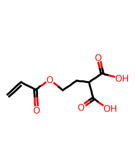 C=CC(=O)OCCC(C(=O)O)C(=O)O